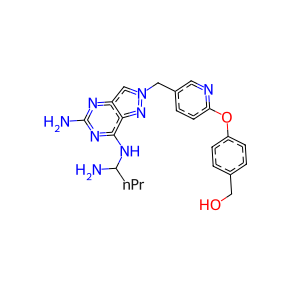 CCCC(N)Nc1nc(N)nc2cn(Cc3ccc(Oc4ccc(CO)cc4)nc3)nc12